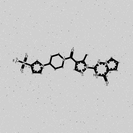 Cc1c(C(=O)N2CCC(n3ccc(S(=O)(=O)C(F)(F)F)c3)CC2)cnn1-c1nn2cccc2c(=O)[nH]1